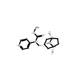 CC(C)(C)OC(=O)N(C[C@@H]1C[C@H]2CC[C@@H](C1)N2)c1ccncc1